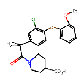 C=C(C(=O)N1CCC(C(=O)O)CC1)c1ccc(Sc2ccccc2OCC)c(Cl)c1